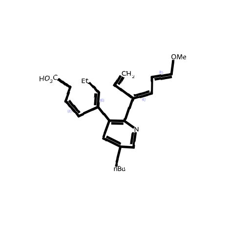 C=C/C(=C\C=C\OC)c1ncc(CCCC)cc1C(/C=C\CC(=O)O)=C/CC